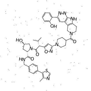 Cc1ncsc1-c1ccc([C@H](C)NC(=O)[C@@H]2C[C@@H](O)CN2C(=O)[C@@H](c2cc(N3CCC(C(=O)N4CCc5[nH]c6nnc(-c7ccccc7O)cc6c5C4)CC3)no2)C(C)C)cc1